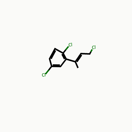 CC(=CCCl)c1cc(Cl)ccc1Cl